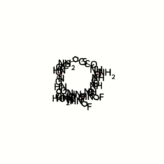 C[C@@]12CCCN1C(=O)[C@H](Cc1ccc(O)cc1)NC(=O)[C@H](Cc1cnc[nH]1)NC(=O)[C@H](CC(=O)O)NC(=O)[C@H](Cc1c[nH]c3ccc(F)cc13)NC(=O)[C@H](Cc1c[nH]c3ccc(F)cc13)NC(=O)CNC(=O)[C@@H](CCN)NC(=O)CCSCc1cccc(c1)CSC[C@@H](C(N)=O)NC2=O